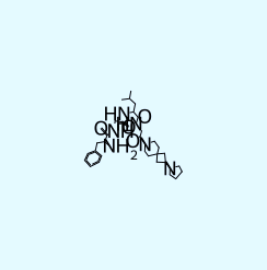 CC(C)CC(NC(=O)CNC(=O)C(N)Cc1ccccc1)C(=O)NCC(=O)N1CCC2(CC1)CC(N1CCCC1)C2